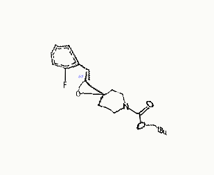 CC(C)(C)OC(=O)N1CCC2(CC1)O/C2=C\c1ccccc1F